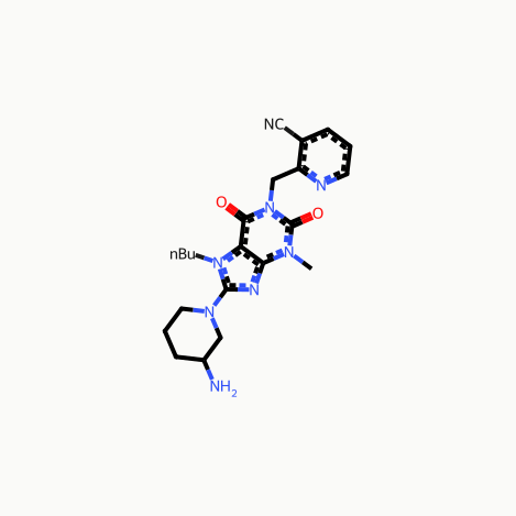 CCCCn1c(N2CCCC(N)C2)nc2c1c(=O)n(Cc1ncccc1C#N)c(=O)n2C